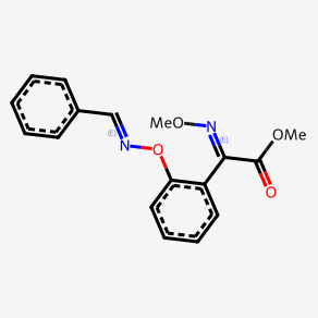 CO/N=C(/C(=O)OC)c1ccccc1O/N=C/c1ccccc1